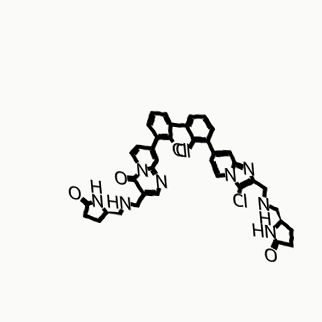 O=C1CC[C@H](CNCc2nc3cc(-c4cccc(-c5cccc(-c6ccn7c(=O)c(CNC[C@H]8CCC(=O)N8)cnc7c6)c5Cl)c4Cl)ccn3c2Cl)N1